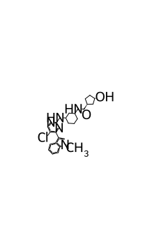 Cn1cc(-c2nc(N[C@@H]3CCC[C@H](NC(=O)[C@H]4CC[C@H](O)C4)C3)ncc2Cl)c2ccccc21